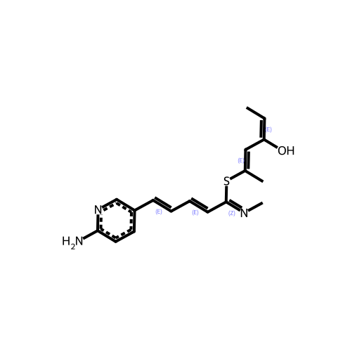 C/C=C(O)\C=C(/C)SC(/C=C/C=C/c1ccc(N)nc1)=N\C